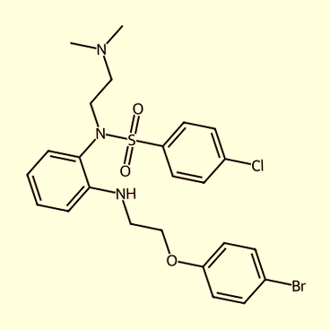 CN(C)CCN(c1ccccc1NCCOc1ccc(Br)cc1)S(=O)(=O)c1ccc(Cl)cc1